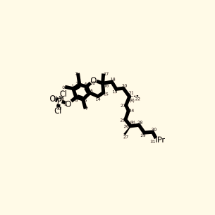 Cc1c(C)c2c(c(C)c1OP(=O)(Cl)Cl)CCC(C)(CCC[C@H](C)CCC[C@H](C)CCCC(C)C)O2